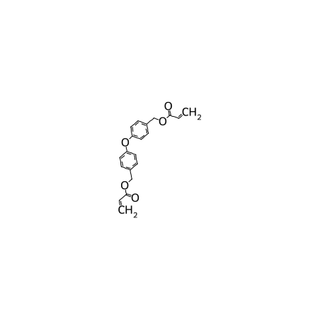 C=CC(=O)OCc1ccc(Oc2ccc(COC(=O)C=C)cc2)cc1